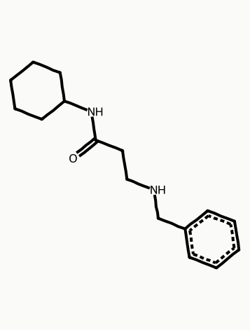 O=C(CCNCc1ccccc1)NC1CCCCC1